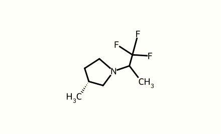 CC(N1CC[C@@H](C)C1)C(F)(F)F